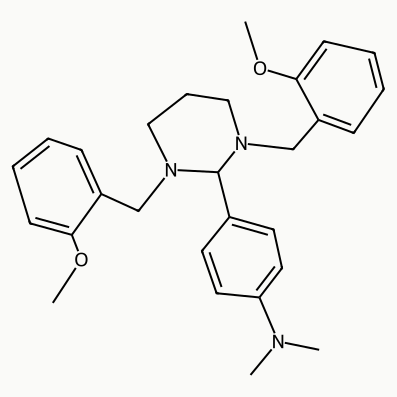 COc1ccccc1CN1CCCN(Cc2ccccc2OC)C1c1ccc(N(C)C)cc1